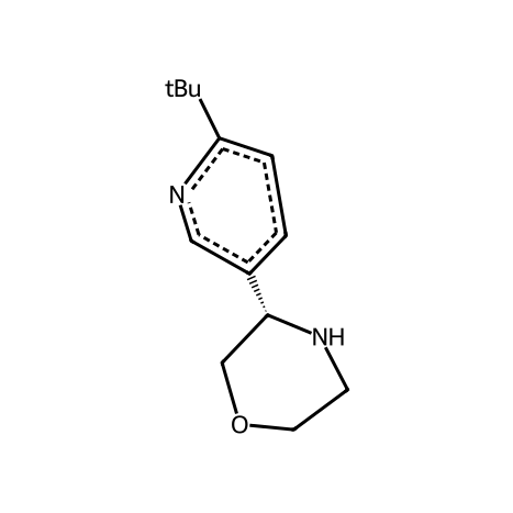 CC(C)(C)c1ccc([C@H]2COCCN2)cn1